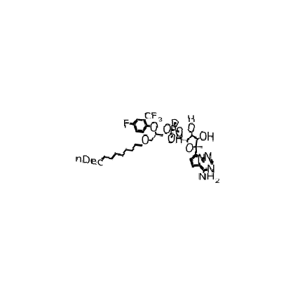 CCCCCCCCCCCCCCCCCCOC[C@H](COP(=O)(O)OC[C@H]1O[C@@](C)(c2ccc3c(N)ncnn23)[C@H](O)[C@@H]1O)Oc1ccc(F)cc1C(F)(F)F